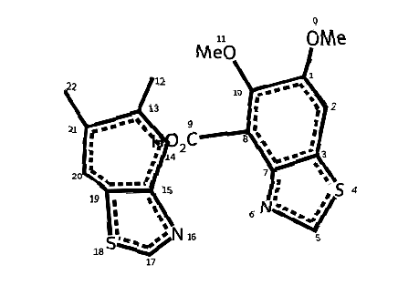 COc1cc2scnc2c(C(=O)O)c1OC.Cc1cc2ncsc2cc1C